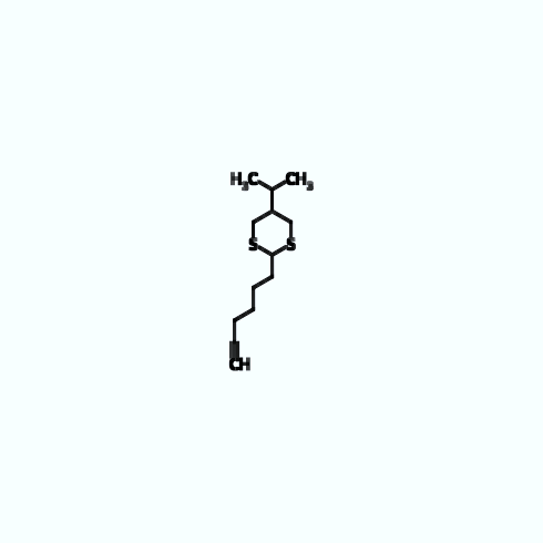 C#CCCCCC1SCC(C(C)C)CS1